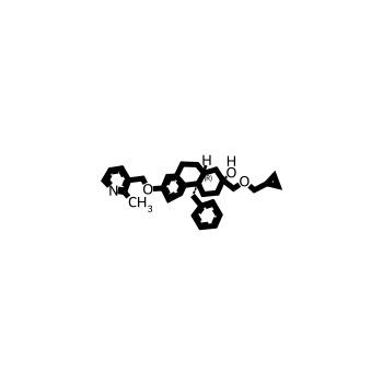 Cc1ncccc1COc1ccc2c(c1)CC[C@@H]1C[C@@](O)(COCC3CC3)CC[C@@]21Cc1ccccc1